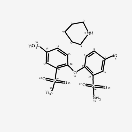 C1CCNCC1.CCc1ccc(Oc2ccc(C(=O)O)cc2S(C)(=O)=O)c(S(N)(=O)=O)c1